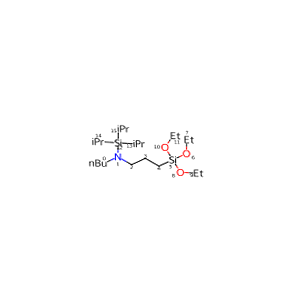 CCCCN(CCC[Si](OCC)(OCC)OCC)[Si](C(C)C)(C(C)C)C(C)C